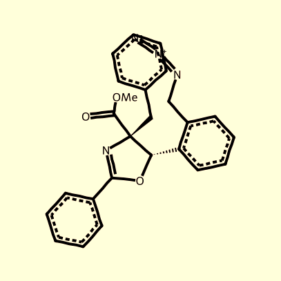 COC(=O)[C@@]1(Cc2ccccc2)N=C(c2ccccc2)O[C@H]1c1ccccc1CN=[N+]=[N-]